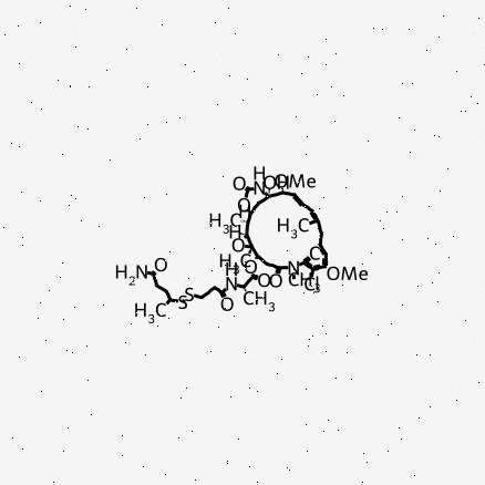 COc1cc2cc(c1Cl)N(C)C(=O)C[C@H](OC(=O)[C@H](C)NC(=O)CCSSC(C)CCC(N)=O)[C@]1(C)O[C@H]1[C@H](C)[C@@H]1C[C@@](O)(NC(=O)O1)[C@H](OC)/C=C/C=C(\C)C2